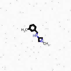 Cc1cccc(CNC2CN(C)C2)c1